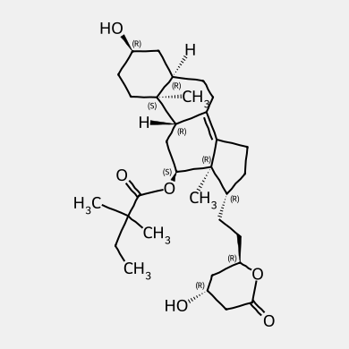 CCC(C)(C)C(=O)O[C@H]1C[C@H]2C(=C3CC[C@H](CC[C@@H]4C[C@@H](O)CC(=O)O4)[C@]31C)CC[C@@H]1C[C@H](O)CC[C@@]12C